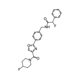 O=C(NCc1ccc(-c2nc(C(=O)N3CCC(F)CC3)co2)cc1)C(F)c1ccccc1